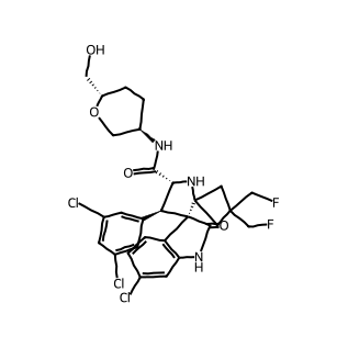 O=C(N[C@@H]1CC[C@@H](CO)OC1)[C@@H]1NC2(CC(CF)(CF)C2)[C@@]2(C(=O)Nc3cc(Cl)ccc32)[C@H]1c1cc(Cl)cc(Cl)c1